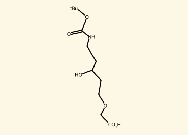 CC(C)(C)OC(=O)NCCC(O)CCOCC(=O)O